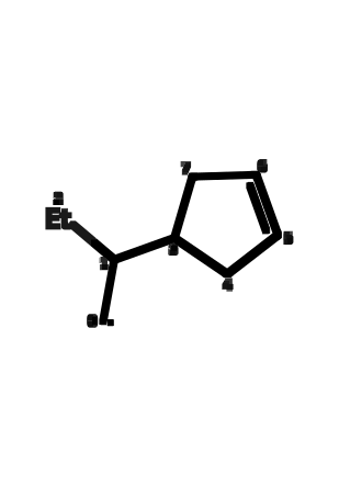 [CH2]C(CC)C1CC=CC1